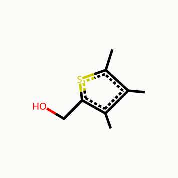 Cc1sc(CO)c(C)c1C